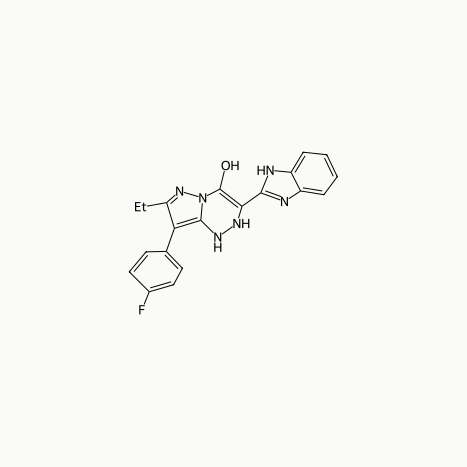 CCc1nn2c(c1-c1ccc(F)cc1)NNC(c1nc3ccccc3[nH]1)=C2O